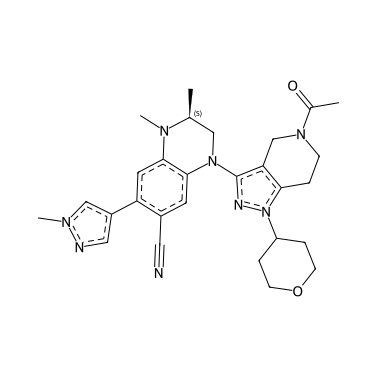 CC(=O)N1CCc2c(c(N3C[C@H](C)N(C)c4cc(-c5cnn(C)c5)c(C#N)cc43)nn2C2CCOCC2)C1